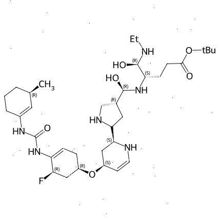 CCN[C@H](O)[C@H](CCC(=O)OC(C)(C)C)N[C@H](O)[C@H]1CNC([C@@H]2C[C@H](O[C@@H]3CC=C(NC(=O)NC4=C[C@H](C)CCC4)[C@H](F)C3)C=CN2)C1